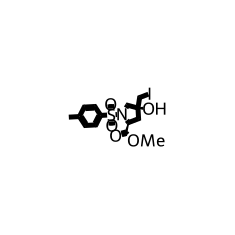 COC(=O)[C@@H]1C[C@@](O)(CI)CN1S(=O)(=O)c1ccc(C)cc1